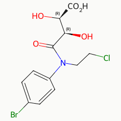 O=C(O)[C@H](O)[C@@H](O)C(=O)N(CCCl)c1ccc(Br)cc1